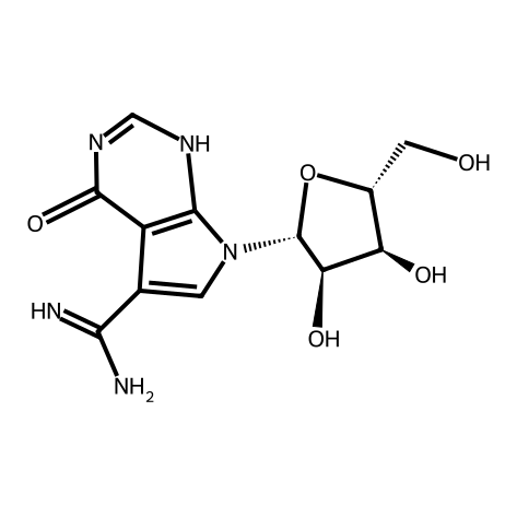 N=C(N)c1cn([C@@H]2O[C@H](CO)[C@@H](O)[C@H]2O)c2[nH]cnc(=O)c12